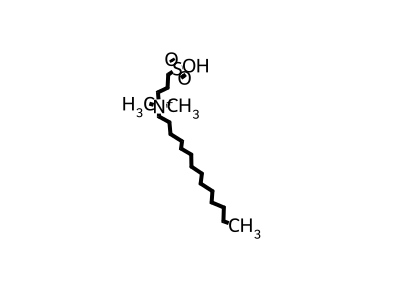 CCCCCCCCCCCCCC[N+](C)(C)CCCS(=O)(=O)O